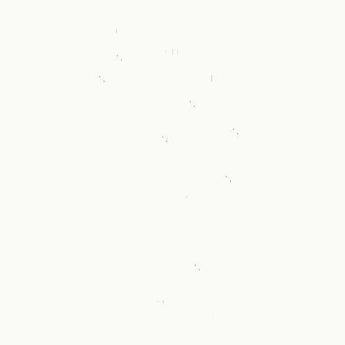 CCC(=O)N1CCC(Oc2ncnc3c2nc(-c2cnn(CC)c2C)n3C)C1